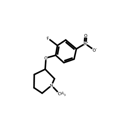 CN1CCCC(Oc2ccc([N+](=O)[O-])cc2F)C1